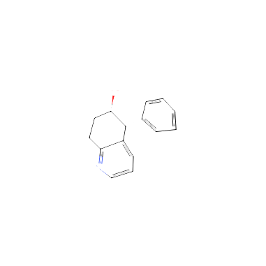 O[C@@H]1CCc2ncccc2[C@H]1c1ccccc1